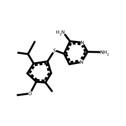 COc1cc(C(C)C)c(Sc2cnc(N)nc2N)cc1C